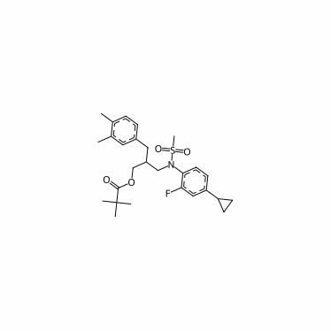 Cc1ccc(CC(COC(=O)C(C)(C)C)CN(c2ccc(C3CC3)cc2F)S(C)(=O)=O)cc1C